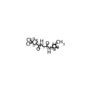 Cc1cc(NC(=O)CNC(=O)C2CC(Cl)(Cl)CS2)sn1